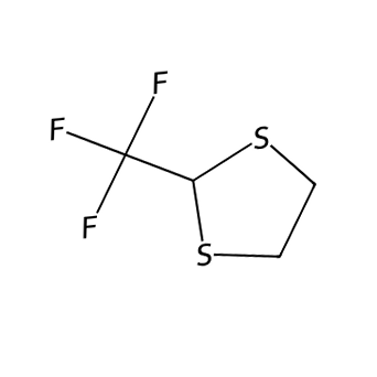 FC(F)(F)C1SCCS1